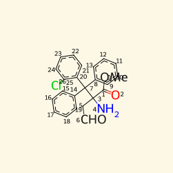 COC(=O)C(N)(CC=O)C(c1ccccc1)(c1ccccc1)c1ccccc1Cl